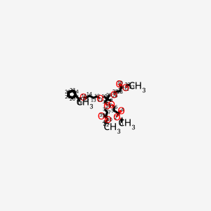 CCOC(=O)CCOCC(COCCCCOC(C)c1ccccc1)(COCCC(=O)OCC)COCCC(=O)OCC